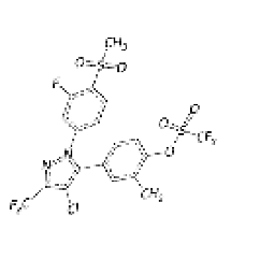 Cc1cc(-c2c(Cl)c(C(F)(F)F)nn2-c2ccc(S(C)(=O)=O)c(F)c2)ccc1OS(=O)(=O)C(F)(F)F